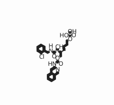 CN(C(=O)NCc1ccccc1Cl)[C@@H](CCCCOP(=O)(O)O)COC(=O)Nc1cc2ccccc2cn1